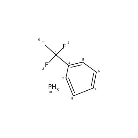 FC(F)(F)c1ccccc1.P